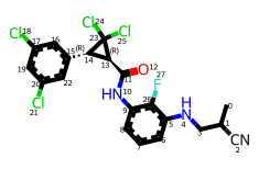 CC(C#N)CNc1cccc(NC(=O)[C@H]2[C@H](c3cc(Cl)cc(Cl)c3)C2(Cl)Cl)c1F